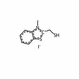 Cn1c2ccccc2s[c+]1CS.[I-]